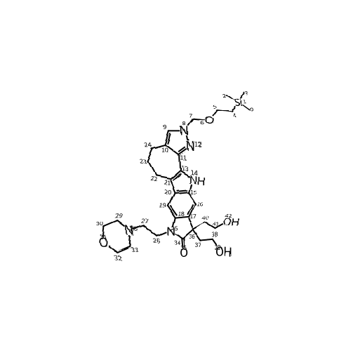 C[Si](C)(C)CCOCn1cc2c(n1)-c1[nH]c3cc4c(cc3c1CCC2)N(CCN1CCOCC1)C(=O)C4(CCO)CCO